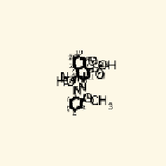 COc1ccccc1N=Nc1cc(S(=O)(=O)O)c2ccccc2c1O.[NaH]